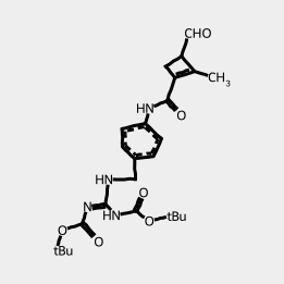 CC1=C(C(=O)Nc2ccc(CN/C(=N/C(=O)OC(C)(C)C)NC(=O)OC(C)(C)C)cc2)CC1C=O